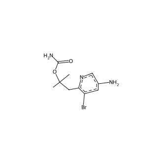 CC(C)(Cc1ncc(N)cc1Br)OC(N)=O